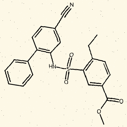 CCc1ccc(C(=O)OC)cc1S(=O)(=O)Nc1cc(C#N)ccc1-c1ccccc1